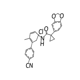 CC1=C(c2ccc(C#N)cc2)CC(Cl)(NC(=O)C2(c3ccc4c(c3)OCO4)CC2)C=C1